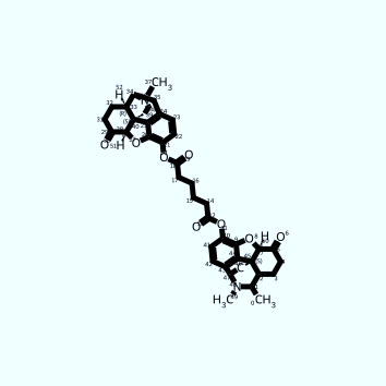 CC1C2CCC(=O)[C@@H]3Oc4c(OC(=O)CCCCC(=O)Oc5ccc6c7c5O[C@H]5C(=O)CC[C@H]8C(C6)N(C)CC[C@]758)ccc5c4[C@]23CC5N1C